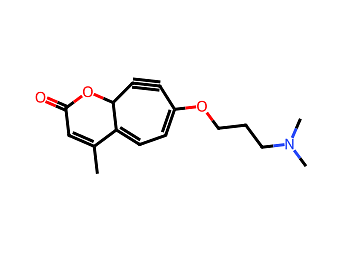 CC1=CC(=O)OC2C#CC(OCCCN(C)C)=CC=C12